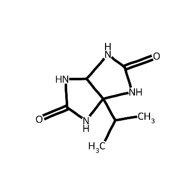 CC(C)C12NC(=O)NC1NC(=O)N2